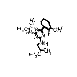 CC(C)CNc1nc(NC(C)C)nc(C2=C(F)C(O)CCC2)n1